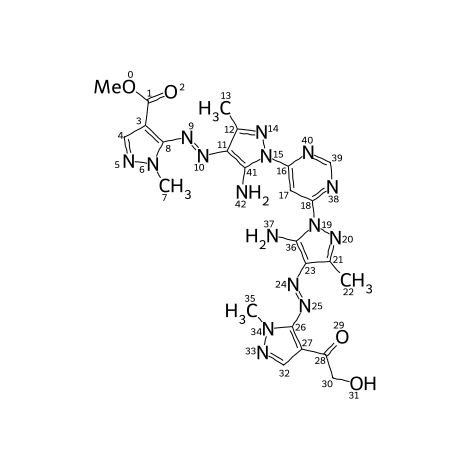 COC(=O)c1cnn(C)c1/N=N/c1c(C)nn(-c2cc(-n3nc(C)c(/N=N/c4c(C(=O)CO)cnn4C)c3N)ncn2)c1N